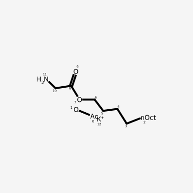 CC(=O)[O-].CCCCCCCCCCCCOC(=O)CN.[K+]